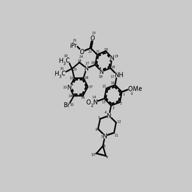 COc1cc(N2CCN(C3CC3)CC2)c([N+](=O)[O-])cc1Nc1ncc(C(=O)OC(C)C)c(N2CC(C)(C)c3nc(Br)ccc32)n1